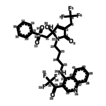 O=C1C(CC(F)(F)F)=CC(O)(CS(=O)(=O)c2ccccc2)N1CCCCNc1c(C(=O)C(F)(F)F)cnc2ccccc12